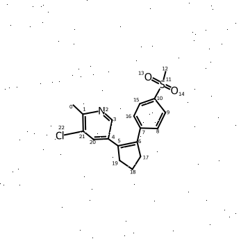 Cc1ncc(C2=C(c3ccc(S(C)(=O)=O)cc3)CCC2)cc1Cl